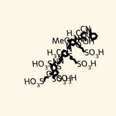 COc1cc(N=Nc2c(C)c(C#N)c3nc4c(n3c2O)C=CCC4)c(OCCCS(=O)(=O)O)cc1N=Nc1cc(C)c(N=Nc2nc3c(S(=O)(=O)O)cc4c(OCCCS(=O)(=O)O)c(S(=O)(=O)O)c(S(=O)(=O)O)cc4c3s2)cc1SCCCS(=O)(=O)O